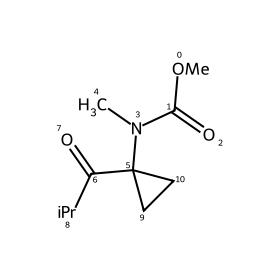 COC(=O)N(C)C1(C(=O)C(C)C)CC1